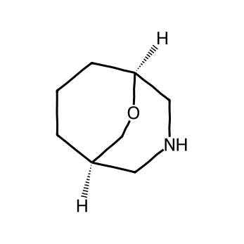 C1C[C@@H]2CNC[C@H](C1)OC2